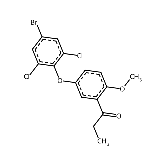 CCC(=O)c1cc(Oc2c(Cl)cc(Br)cc2Cl)ccc1OC